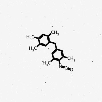 Cc1cc(C)c(Cc2cc(C)c(N=C=O)c(C)c2)cc1C